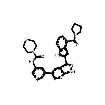 O=C(Nc1cncc(-c2cnc3[nH]nc(-c4cc5c(C(=O)N6CCCC6)cccc5[nH]4)c3c2)c1)N1CCOCC1